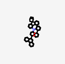 c1ccc(-c2ccccc2N(c2ccc(-c3cc4ccccc4c4ccccc34)cc2)c2cccc3c2-c2ccccc2C32CC3CCC2C3)cc1